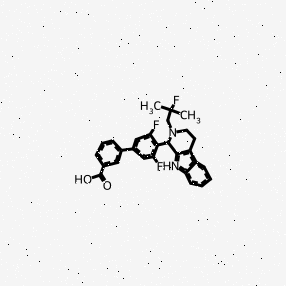 CC(C)(F)CN1CCc2c([nH]c3ccccc23)C1c1c(F)cc(-c2cccc(C(=O)O)c2)cc1F